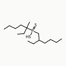 CCCCC(CC)CP(=S)(S)C(C)(CC)CCCC